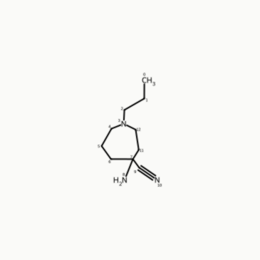 CCCN1CCCC(N)(C#N)CC1